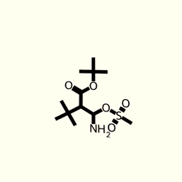 CC(C)(C)OC(=O)C(C(N)OS(C)(=O)=O)C(C)(C)C